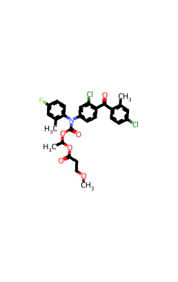 COCCC(=O)OC(C)OC(=O)N(c1ccc(C(=O)c2ccc(Cl)cc2C)c(Cl)c1)c1ccc(F)cc1C